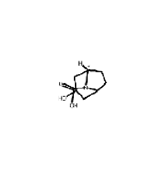 O=C(O)N1C2CC[C@H]1CC(O)C2